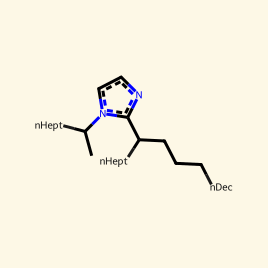 CCCCCCCCCCCCCC(CCCCCCC)c1nccn1C(C)CCCCCCC